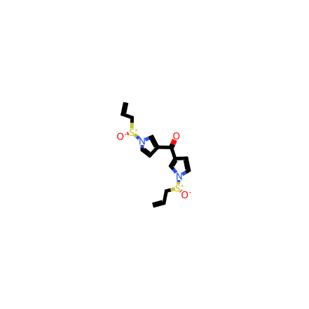 C=CC[S+]([O-])n1ccc(C(=O)c2ccn([S+]([O-])CC=C)c2)c1